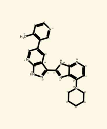 Cc1ccncc1-c1cnc2[nH]nc(-c3nc4c(N5CCCCC5)ccnc4[nH]3)c2c1